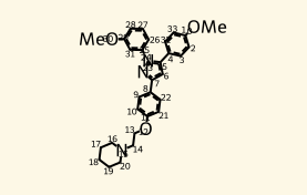 COc1ccc(-c2cc(-c3ccc(OCCN4CCCCC4)cc3)nn2-c2cccc(OC)c2)cc1